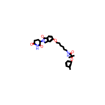 Cc1cccc(OC(C)(C)C(=O)NCCCCCCOc2ccc3c(c2)CN(C2CCC(=O)NC2=O)C3=O)c1